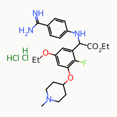 CCOC(=O)C(Nc1ccc(C(=N)N)cc1)c1cc(OCC)cc(OC2CCN(C)CC2)c1F.Cl.Cl